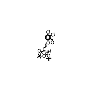 CC(C)(C)OC(=O)N[C@H](CCCOc1ccc(Cl)c(Cl)c1C=O)C(=O)OC(C)(C)C